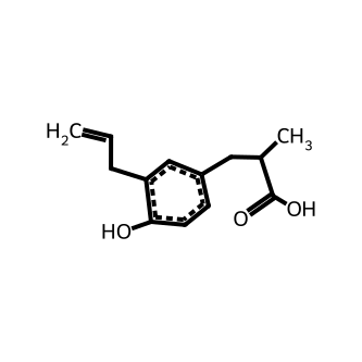 C=CCc1cc(CC(C)C(=O)O)ccc1O